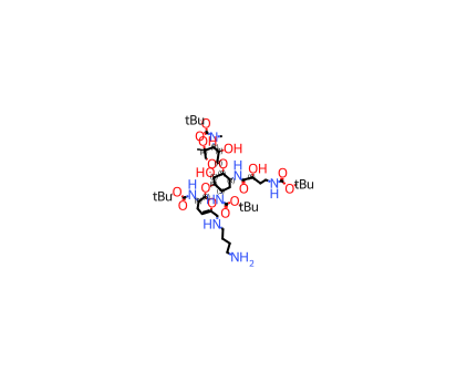 CN(C(=O)OC(C)(C)C)[C@@H]1[C@@H](O)[C@@H](O[C@@H]2[C@@H](O)[C@H](O[C@H]3OC(CNCCCCN)=CC[C@H]3NC(=O)OC(C)(C)C)[C@@H](NC(=O)OC(C)(C)C)C[C@H]2NC(=O)[C@@H](O)CCNC(=O)OC(C)(C)C)OC[C@]1(C)O